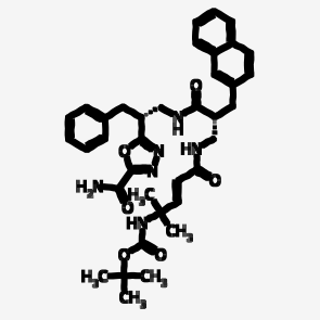 CC(C)(C=CC(=O)NC[C@@H](Cc1ccc2ccccc2c1)C(=O)NC[C@@H](Cc1ccccc1)c1nnc(C(N)=O)o1)NC(=O)OC(C)(C)C